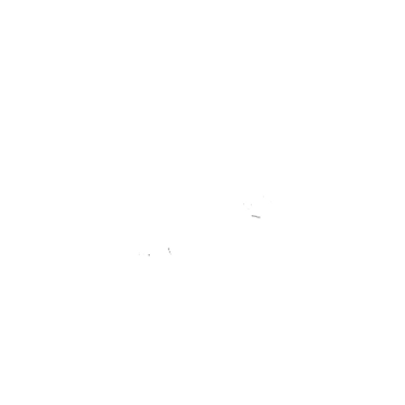 CCCCCCCCC(CCCCCC)C(=O)OCCCCCCCC(=O)OC(C)(C)C